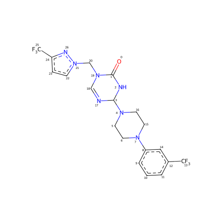 O=C1NC(N2CCN(c3cccc(C(F)(F)F)c3)CC2)N=CN1Cn1ccc(C(F)(F)F)n1